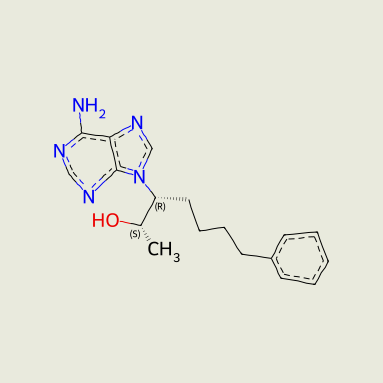 C[C@H](O)[C@@H](CCCCc1ccccc1)n1cnc2c(N)ncnc21